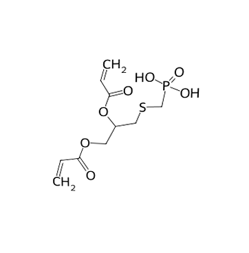 C=CC(=O)OCC(CSCP(=O)(O)O)OC(=O)C=C